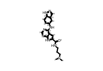 CN(C)CCCNC(=O)c1cc2c(Nc3ccc4[nH]ncc4c3)ncnc2[nH]1